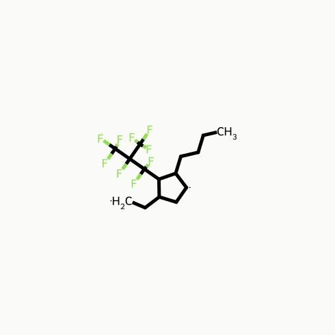 [CH2]CC1C[CH]C(CCCC)C1C(F)(F)C(F)(C(F)(F)F)C(F)(F)F